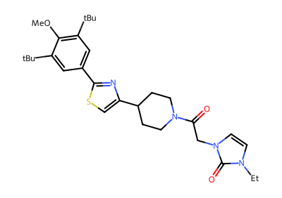 CCn1ccn(CC(=O)N2CCC(c3csc(-c4cc(C(C)(C)C)c(OC)c(C(C)(C)C)c4)n3)CC2)c1=O